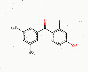 Cc1cc(O)ccc1C(=O)c1cc([N+](=O)[O-])cc([N+](=O)[O-])c1